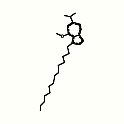 CCCCCCCCCCCCCCc1ccc2ccc(C(C)C)cc(OC)c1-2